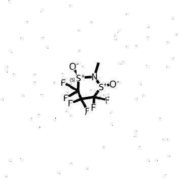 CN1[S+]([O-])C(F)(F)C(F)(F)C(F)(F)[S@@+]1[O-]